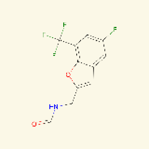 O=CNCc1cc2cc(F)cc(C(F)(F)F)c2o1